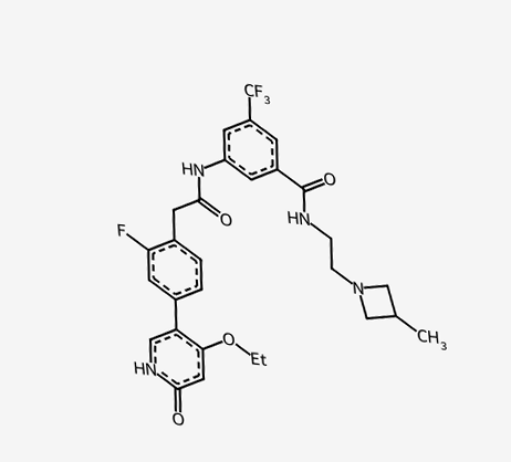 CCOc1cc(=O)[nH]cc1-c1ccc(CC(=O)Nc2cc(C(=O)NCCN3CC(C)C3)cc(C(F)(F)F)c2)c(F)c1